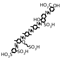 Cc1cc(N=Nc2cc(C)c(N=Nc3ccc(S(=O)(=O)O)cc3S(=O)(=O)O)cc2OCCCS(=O)(=O)O)c(C)cc1N=Nc1cc(C)c(N=Nc2c(S(=O)(=O)O)cc3cc(N=Nc4ccc(O)c(C(=O)O)c4)ccc3c2O)cc1C